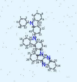 c1ccc(-n2c3ccccc3c3ccc(-n4c5ccccc5c5c6c7cccc8c9nc%10ccccc%10nc9n(c6ccc54)c87)cc32)cc1